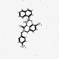 C[C@@H](NCC(=O)N(Cc1ccc(C(F)(F)F)cc1)Cc1ccc(C(F)(F)F)cc1)c1cccc2ccccc12